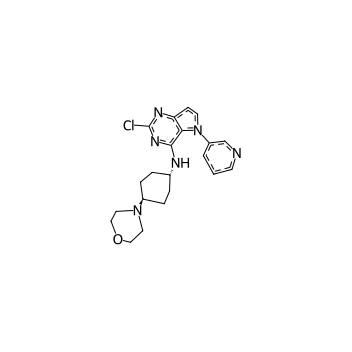 Clc1nc(N[C@H]2CC[C@H](N3CCOCC3)CC2)c2c(ccn2-c2cccnc2)n1